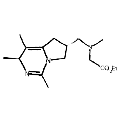 CCOC(=O)CN(C)C[C@H]1CC2=C(C)[C@H](C)N=C(C)N2C1